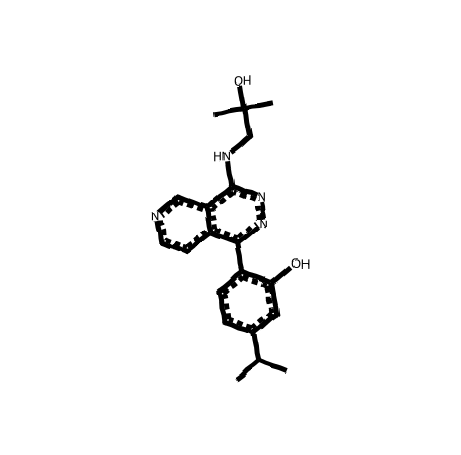 CC(C)c1ccc(-c2nnc(NCC(C)(C)O)c3cnccc23)c(O)c1